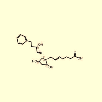 O=C(O)CCCC=CC[C@@H]1[C@@H](/C=C/[C@@H](O)CCc2ccccc2)[C@H](O)C[C@@H]1O